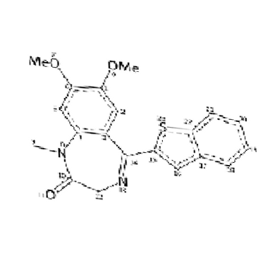 COc1cc2c(cc1OC)N(C)C(=O)CN=C2c1cc2ccccc2s1